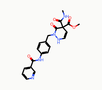 CNC(=O)C1(C(=O)OC)C=CNN(Cc2ccc(NC(=O)c3cccnc3)cc2)C1=O